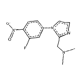 CN(C)Cc1nccn1-c1ccc([N+](=O)[O-])c(F)c1